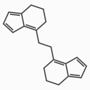 C1=CC2=C(CCC3=C4C=CC=C4CCC3)CCCC2=C1